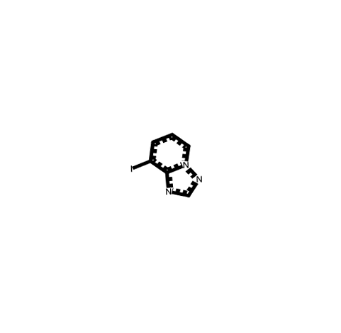 Ic1cccn2ncnc12